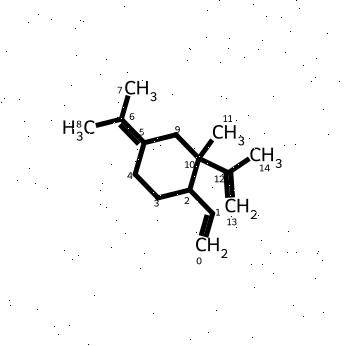 C=CC1CCC(=C(C)C)CC1(C)C(=C)C